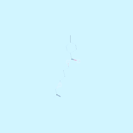 C=C(C)COCCCCOC(=O)C1CCC(C)CC1